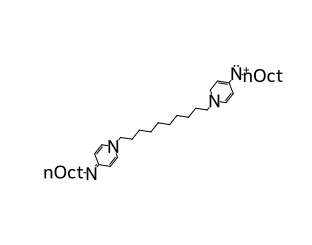 CCCCCCCCN=c1ccn(CCCCCCCCCCN2C=CC([N+]CCCCCCCC)=CC2)cc1